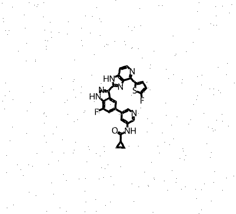 O=C(Nc1cncc(-c2cc(F)c3[nH]nc(-c4nc5c(-c6ccc(F)s6)nccc5[nH]4)c3c2)c1)C1CC1